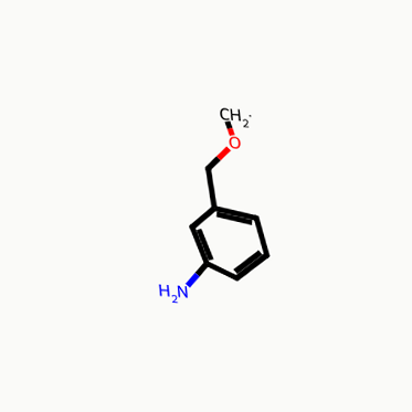 [CH2]OCc1cccc(N)c1